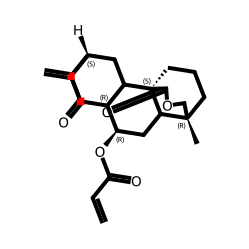 C=CC(=O)O[C@@H]1CC2[C@@]3(C)CCC[C@@]2(C(=O)OC3)C2C[C@@H]3CC[C@@]21C(=O)C3=C